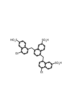 CCc1ccc(Cc2ccc(Cc3ccc(CC)c4ccc(S(=O)(=O)O)cc34)c3ccc(S(=O)(=O)O)cc23)c2ccc(S(=O)(=O)O)cc12